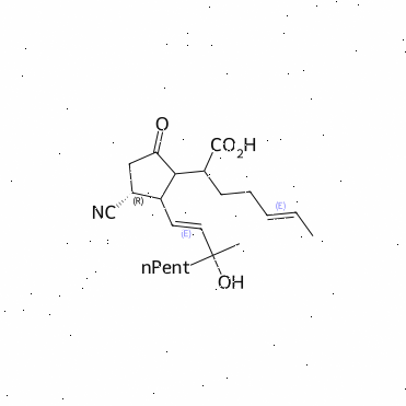 C/C=C/CCC(C(=O)O)C1C(=O)C[C@@H](C#N)C1/C=C/C(C)(O)CCCCC